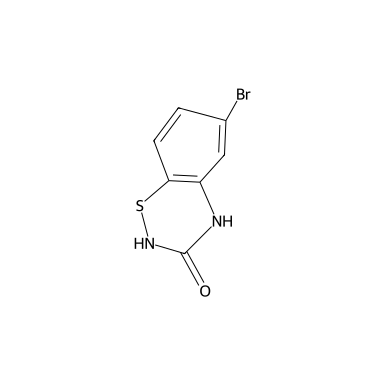 O=C1NSc2ccc(Br)cc2N1